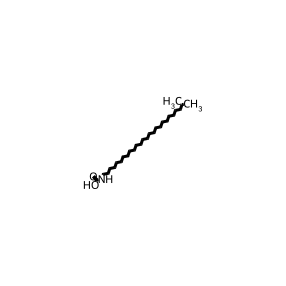 CC(C)CCCCCCCCCCCCCCCCCCCCCCCCNC(=O)O